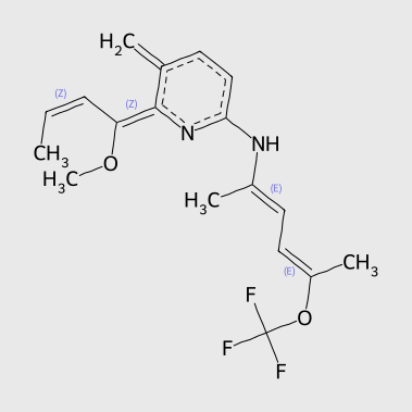 C=c1ccc(N/C(C)=C/C=C(\C)OC(F)(F)F)n/c1=C(/C=C\C)OC